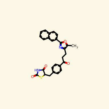 Cc1oc(-c2ccc3ccccc3c2)nc1CCC(=O)c1ccc(CC2SC(=O)NC2=O)cc1